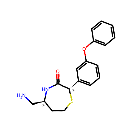 NC[C@@H]1CCS[C@@H](c2cccc(Oc3ccccc3)c2)C(=O)N1